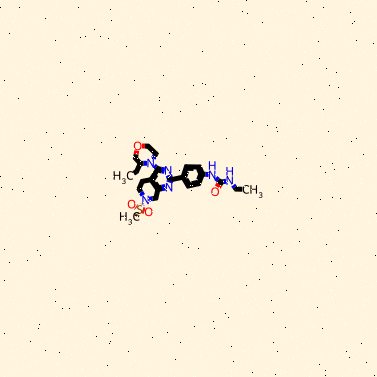 CCNC(=O)Nc1ccc(-c2nc3c(c(N4CCOCC4CC)n2)CCN(S(C)(=O)=O)C3)cc1